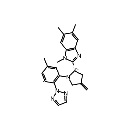 C=C1C[C@@H](c2nc3cc(C)c(C)cc3n2C)N(c2cc(C)c[c]c2-n2nccn2)C1